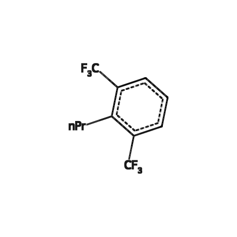 [CH2]CCc1c(C(F)(F)F)cccc1C(F)(F)F